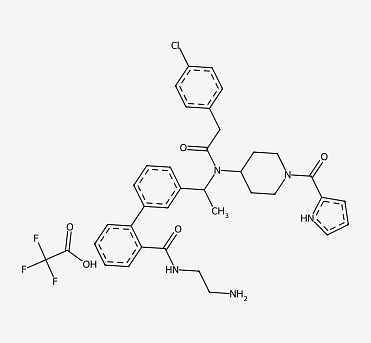 CC(c1cccc(-c2ccccc2C(=O)NCCN)c1)N(C(=O)Cc1ccc(Cl)cc1)C1CCN(C(=O)c2ccc[nH]2)CC1.O=C(O)C(F)(F)F